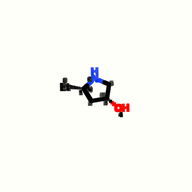 CC[C@H]1C[C@@H](O)CN1